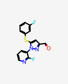 O=Cc1cc(Sc2cccc(F)c2)n(-c2cccnc2F)n1